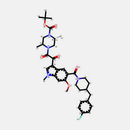 COc1cc2c(cc1C(=O)N1CCC(Cc3ccc(F)cc3)CC1)c(C(=O)C(=O)N1C[C@@H](C)N(C(=O)OC(C)(C)C)CC1C)cn2C